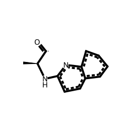 C[C@@H]([C]=O)Nc1ccc2ccccc2n1